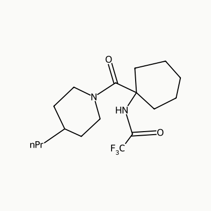 CCCC1CCN(C(=O)C2(NC(=O)C(F)(F)F)CCCCC2)CC1